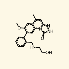 COc1cc2c(C)cc3n[nH]c(=O)n3c2cc1-c1ccccc1CNCCO